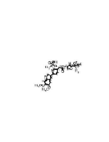 COc1cc2cc(-c3ccc(CC(=O)Nc4cc(C(C)(C)C(F)(F)F)on4)cn3)cnc2cc1OC.CS(=O)(=O)O